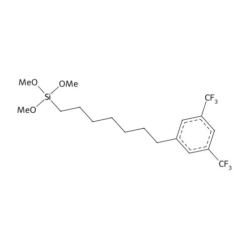 CO[Si](CCCCCCCc1cc(C(F)(F)F)cc(C(F)(F)F)c1)(OC)OC